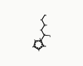 CCOCC(C)n1cccn1